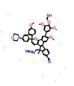 COc1ccc(C2(c3ccc(N4CCOCC4)cc3)C=Cc3c4c(c5cc(OC)c(-c6cc(OC)c(OC=N)c(OC)c6)cc5c3O2)-c2ccc(C#N)cc2C4(C)CN=[N+]=[N-])cc1